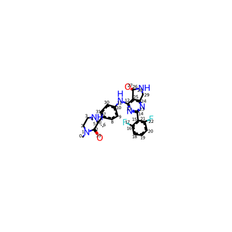 CN1CCN[C@@](C)(c2ccc(Nc3nc(-c4c(F)cccc4F)nc4c3C(=O)NC4)cc2)C1=O